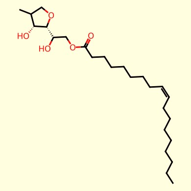 CCCCCCCC/C=C\CCCCCCCC(=O)OCC(O)[C@H]1OCC(C)[C@H]1O